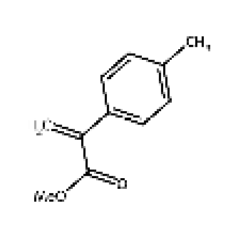 C=C(C(=O)OC)c1ccc(C)cc1